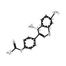 CC(=O)Oc1ccc(C2=COc3cc(C)ccc3[C@H]2O)cc1